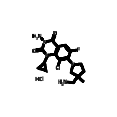 CC1(CN)CCN(c2c(F)cc3c(=O)n(N)c(=O)n(C4CC4)c3c2Cl)C1.Cl